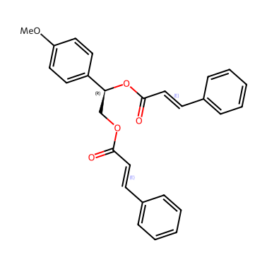 COc1ccc([C@H](COC(=O)/C=C/c2ccccc2)OC(=O)/C=C/c2ccccc2)cc1